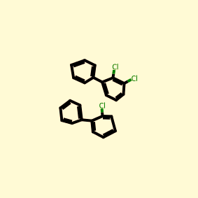 Clc1cccc(-c2ccccc2)c1Cl.Clc1ccccc1-c1ccccc1